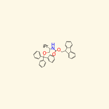 CC(C)C(COC(c1ccccc1)(c1ccccc1)c1ccccc1)NC(=O)OCC1c2ccccc2-c2ccccc21